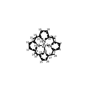 Cc1ccc(C)[n]1[Zr]([n]1c(C)ccc1C)([n]1c(C)ccc1C)[n]1c(C)ccc1C